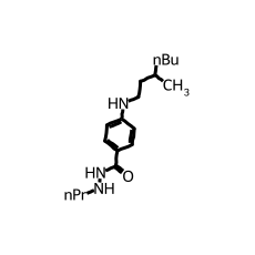 CCCCC(C)CCNc1ccc(C(=O)NNCCC)cc1